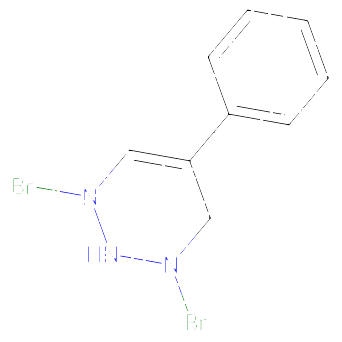 BrN1C=C(c2ccccc2)CN(Br)N1